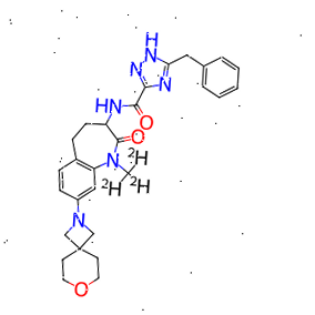 [2H]C([2H])([2H])N1C(=O)C(NC(=O)c2n[nH]c(Cc3ccccc3)n2)CCc2ccc(N3CC4(CCOCC4)C3)cc21